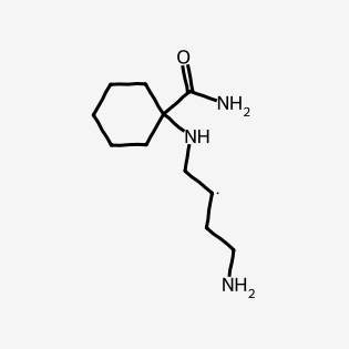 NCC[CH]CNC1(C(N)=O)CCCCC1